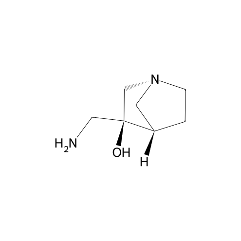 NC[C@]1(O)C[N@]2CC[C@H]1C2